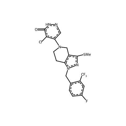 CSc1nn(Cc2ccc(F)cc2C(F)(F)F)c2c1CN(c1cn[nH]c(=O)c1Cl)CC2